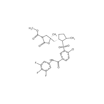 COC(=O)N1C[C@@](C)(C[C@@H]2CCC(C)C2S(=O)(=O)c2cc(C(=O)Nc3cc(F)c(F)c(F)c3)ccc2Cl)OC1=O